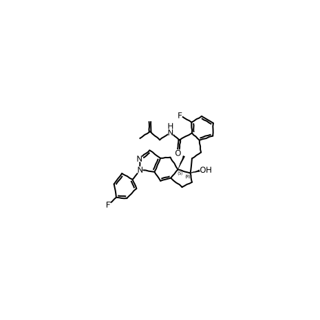 C=C(C)CNC(=O)c1c(F)cccc1CC[C@]1(O)CCC2=Cc3c(cnn3-c3ccc(F)cc3)C[C@@]21C